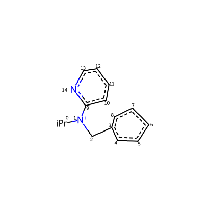 CC(C)[N+](Cc1ccccc1)c1ccccn1